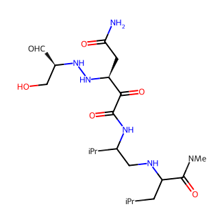 CNC(=O)C(CC(C)C)NCC(NC(=O)C(=O)[C@H](CC(N)=O)NN[C@H](C=O)CO)C(C)C